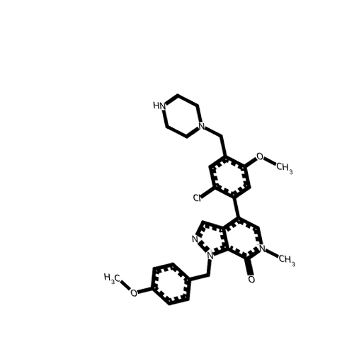 COc1ccc(Cn2ncc3c(-c4cc(OC)c(CN5CCNCC5)cc4Cl)cn(C)c(=O)c32)cc1